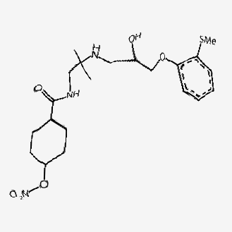 CSc1ccccc1OCC(O)CNC(C)(C)CNC(=O)C1CCC(O[N+](=O)[O-])CC1